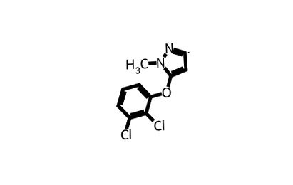 Cn1n[c]cc1Oc1cccc(Cl)c1Cl